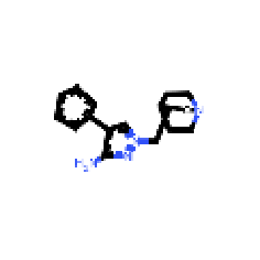 Nc1nn(CC2CN3CCC2CC3)cc1-c1ccccc1